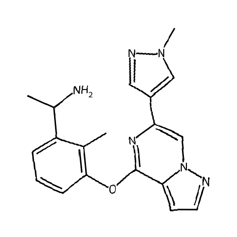 Cc1c(Oc2nc(-c3cnn(C)c3)cn3nccc23)cccc1C(C)N